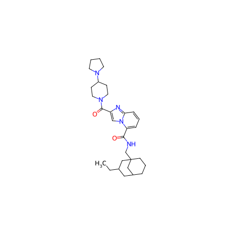 CCC1CC2CCCC(CNC(=O)c3cccc4nc(C(=O)N5CCC(N6CCCC6)CC5)cn34)(C1)C2